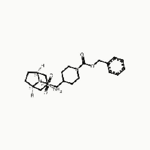 N[C@@H]1C[C@H]2CC[C@@H](C1)N2S(=O)(=O)CC1CCN(C(=O)OCc2ccccc2)CC1